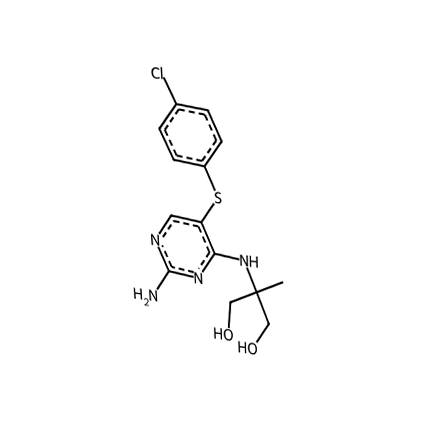 CC(CO)(CO)Nc1nc(N)ncc1Sc1ccc(Cl)cc1